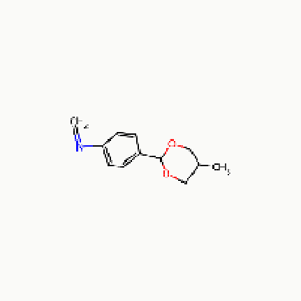 C=Nc1ccc(C2OCC(C)CO2)cc1